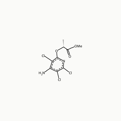 COC(=O)[C@@H](C)Oc1nc(Cl)c(Cl)c(N)c1Cl